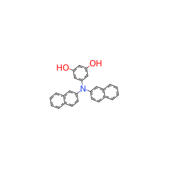 Oc1cc(O)cc(N(c2ccc3ccccc3c2)c2ccc3ccccc3c2)c1